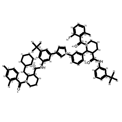 Cc1ccc(C(=O)N2CCCC(C(=O)Nc3cc(-c4ccn(-c5cccc(C6C(C(=O)Nc7cccc(C(C)(C)C)c7)CCCN6C(=O)c6c(C)cccc6F)c5)c4)cc(C(C)(C)C)c3)C2CC2CCCCC2)c(C)c1